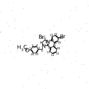 COc1ccc(CN2CC[n+]3c2c2ccccc2c2cc(Br)ccc23)cc1.[Br-]